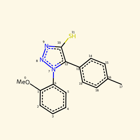 COc1ccccc1-n1nnc(S)c1-c1ccc(C)cc1